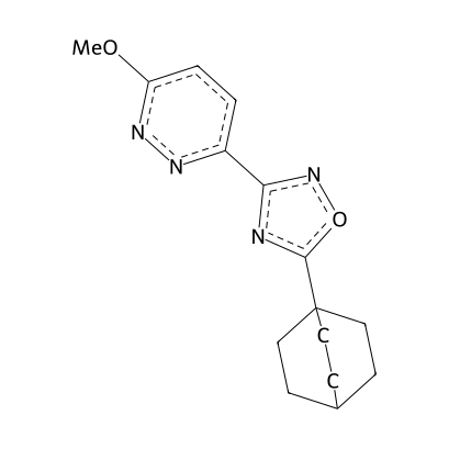 COc1ccc(-c2noc(C34CCC(CC3)CC4)n2)nn1